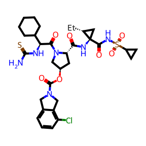 CC[C@@H]1C[C@]1(NC(=O)[C@@H]1C[C@@H](OC(=O)N2Cc3cccc(Cl)c3C2)CN1C(=O)[C@@H](NC(N)=S)C1CCCCC1)C(=O)NS(=O)(=O)C1CC1